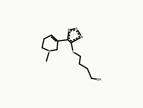 CN1CCC=C(c2nsnc2SCCCCS)C1